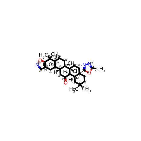 Cc1nnc([C@]23CCC(C)(C)C[C@H]2[C@H]2C(=O)C[C@@H]4[C@@]5(C)Cc6cnoc6C(C)(C)[C@@H]5CC[C@@]4(C)[C@]2(C)CC3)o1